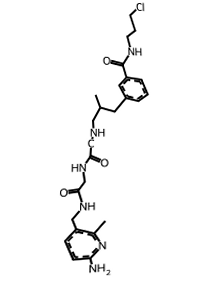 Cc1nc(N)ccc1CNC(=O)CNC(=O)CNCC(C)Cc1cccc(C(=O)NCCCCl)c1